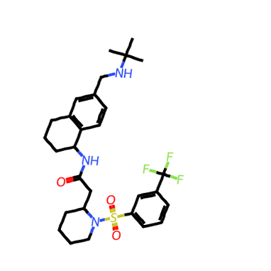 CC(C)(C)NCc1ccc2c(c1)CCCC2NC(=O)CC1CCCCN1S(=O)(=O)c1cccc(C(F)(F)F)c1